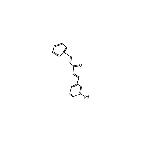 O=C(C=Cc1ccccc1)C=Cc1ccc[c]([Pd])c1